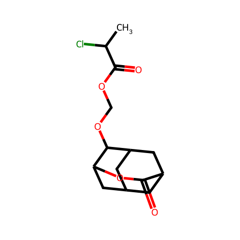 CC(Cl)C(=O)OCOC1C2CC3CC(C2)C(=O)OC1C3